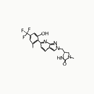 Cc1cc(C(F)(F)F)cc(O)c1-c1ccc2cn(CC3CN(C)C(=O)N3)nc2n1